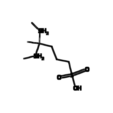 C[SiH2]C(C)(CCCS(=O)(=O)O)[SiH2]C